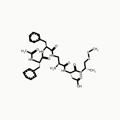 CSSC[C@H](C)NC(=O)[C@H](CC(=O)O)NC(=O)[C@@H](N)CNC(=O)[C@H](Cc1ccccc1)NC(=O)[C@H](Cc1ccccc1)NC(C)=O